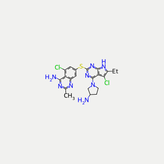 CCc1[nH]c2nc(Sc3cc(Cl)c4c(N)nc(C)nc4c3)nc(N3CCC(N)C3)c2c1Cl